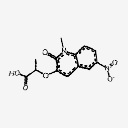 CC(Oc1cc2cc([N+](=O)[O-])ccc2n(C)c1=O)C(=O)O